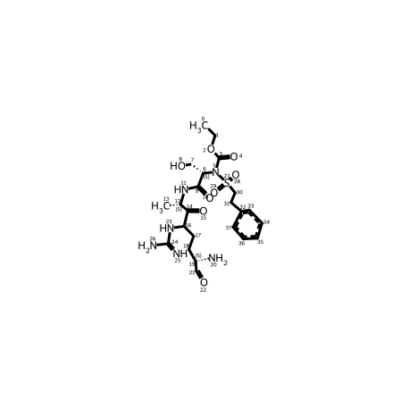 CCOC(=O)N([C@@H](CO)C(=O)N[C@@H](C)C(=O)C(CC[C@H](N)C=O)NC(=N)N)S(=O)(=O)CCc1ccccc1